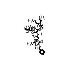 CCCCOP(=O)(OCCCC)O[C@H](C)[C@H](NC(=O)CNC(=O)[C@H](CCc1ccccc1)NC(C)=O)C(=O)NCC(=O)[C@@]1(C)CO1